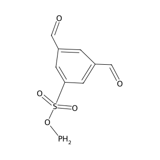 O=Cc1cc(C=O)cc(S(=O)(=O)OP)c1